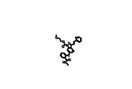 CNC(=O)c1ccccc1Sc1ccc2c(/C=C/c3ccccn3)nn(C(=O)OCCOC)c2c1